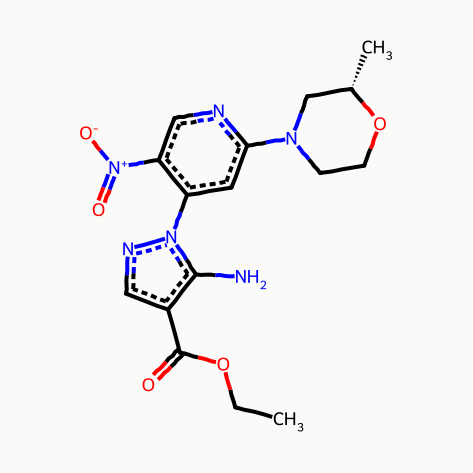 CCOC(=O)c1cnn(-c2cc(N3CCO[C@@H](C)C3)ncc2[N+](=O)[O-])c1N